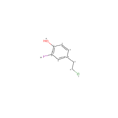 Oc1ccc(CCCl)cc1I